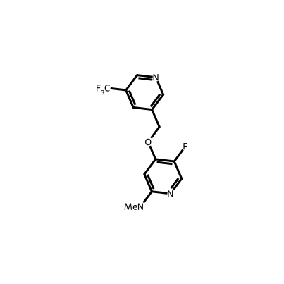 CNc1cc(OCc2cncc(C(F)(F)F)c2)c(F)cn1